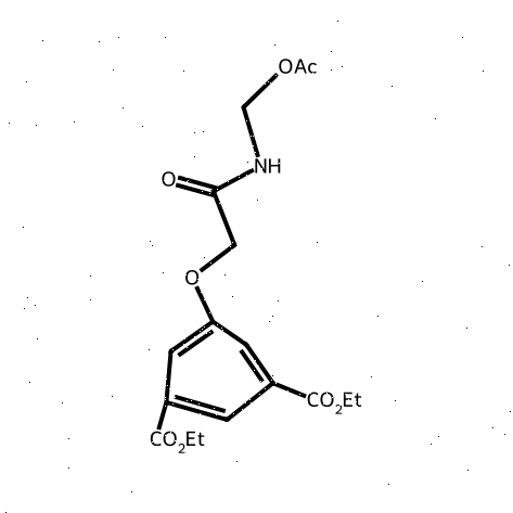 CCOC(=O)c1cc(OCC(=O)NCOC(C)=O)cc(C(=O)OCC)c1